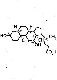 C[C@H](CCC(=O)O)C1CCC2[C@@H]3CC[C@@H]4C[C@H](O)CC[C@]4(C)C3C[C@H](O)[C@@]21C